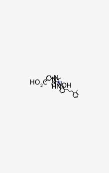 CC1=NN(c2cccc(C(=O)O)c2)C(=O)/C1=N\Nc1cccc(CCCc2ccccc2C)c1O